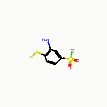 Nc1cc(S(=O)(=O)Cl)ccc1SS